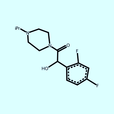 CC(C)N1CCN(C(=O)C(O)c2ccc(F)cc2F)CC1